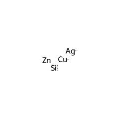 [Ag].[Cu].[Si].[Zn]